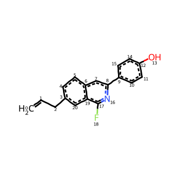 C=CCc1ccc2cc(-c3ccc(O)cc3)nc(F)c2c1